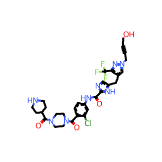 O=C(Nc1ccc(C(=O)N2CCN(C(=O)C3CCNCC3)CC2)c(Cl)c1)c1ncc(Cc2cn(CC#CCO)nc2C(F)(F)F)[nH]1